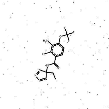 CCC1(NC(=O)c2ccc(OC(F)(F)F)c(N)c2Cl)N=NN=N1